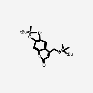 CC(C)(C)[Si](C)(C)OCc1cc(=O)oc2cc(O[Si](C)(C)C(C)(C)C)c(Br)cc12